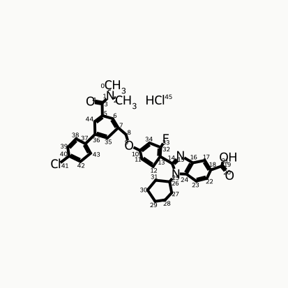 CN(C)C(=O)c1cc(COc2ccc(-c3nc4cc(C(=O)O)ccc4n3C3CCCCC3)c(F)c2)cc(-c2ccc(Cl)cc2)c1.Cl